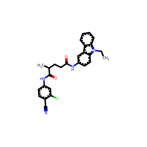 CCn1c2ccccc2c2cc(NC(=O)CCC(C)C(=O)Nc3ccc(C#N)c(Cl)c3)ccc21